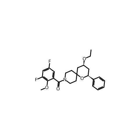 CCO[C@H]1C[C@@H](c2ccccc2)OC2(CCN(C(=O)c3cc(F)cc(F)c3OC)CC2)C1